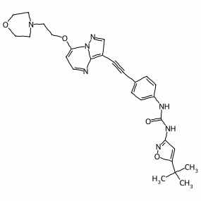 CC(C)(C)c1cc(NC(=O)Nc2ccc(C#Cc3cnn4c(OCCN5CCOCC5)ccnc34)cc2)no1